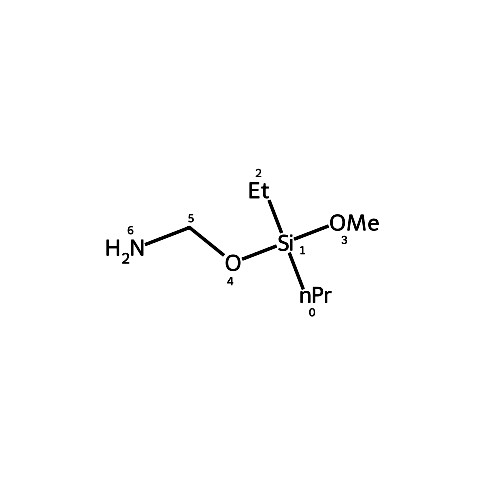 CCC[Si](CC)(OC)OCN